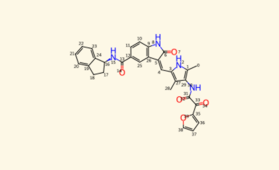 Cc1[nH]c(/C=C2\C(=O)Nc3ccc(C(=O)N[C@H]4CCc5ccccc54)cc32)c(C)c1NC(=O)C(=O)c1ccco1